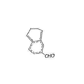 O=Cc1ccc2c(c1)=CCCC=2